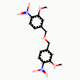 COc1cc(COCc2ccc([N+](=O)[O-])c(OC)c2)ccc1[N+](=O)[O-]